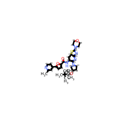 Cc1cc(-c2ccc(C(=O)Nc3cc4sc(N5CCOCC5)nc4nc3N3CC[C@H](O[Si](C)(C)C(C)(C)C)C3)o2)ccn1